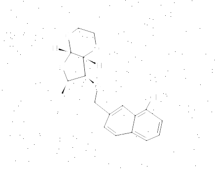 C[C@H]1O[C@@H]2OCCO[C@@H]2[C@H]1OCc1ccc2cccc(Cl)c2c1